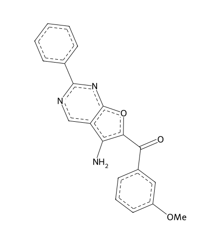 COc1cccc(C(=O)c2oc3nc(-c4ccccc4)ncc3c2N)c1